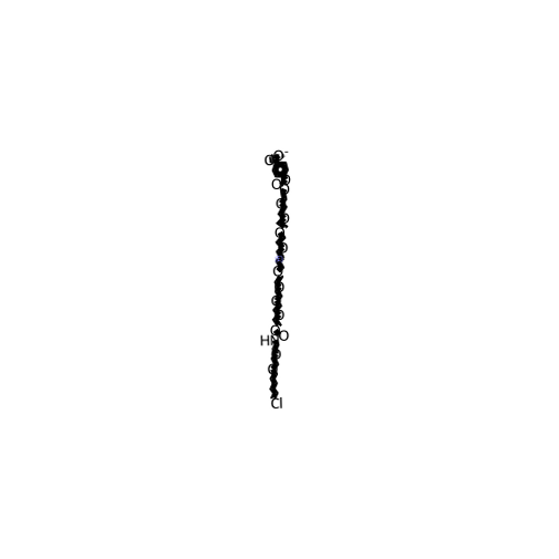 O=C(NCCOCCOCCCCCCCl)OCCOCCOCCOCCOC/C=C/COCCOCCOCCOCCOC(=O)Oc1ccc([N+](=O)[O-])cc1